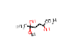 CCOC(O)(CCC(O)C(=O)O)C(=O)O